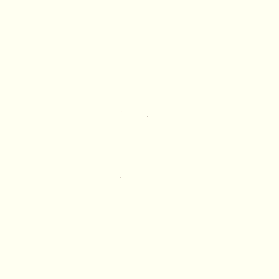 CC(C)(N)C(C)(C)C(C)(C)O